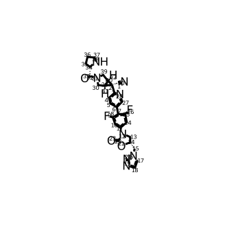 N#C[C@]1(c2ccc(-c3c(F)cc(N4C[C@H](Cn5ccnn5)OC4=O)cc3F)cn2)[C@@H]2CN(C(=O)[C@@H]3CCCN3)C[C@@H]21